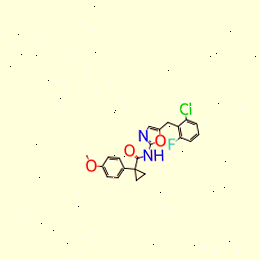 COc1ccc(C2(C(=O)Nc3ncc(Cc4c(F)cccc4Cl)o3)CC2)cc1